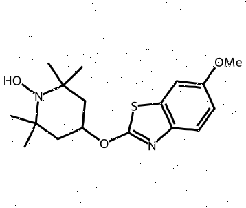 COc1ccc2nc(OC3CC(C)(C)N(O)C(C)(C)C3)sc2c1